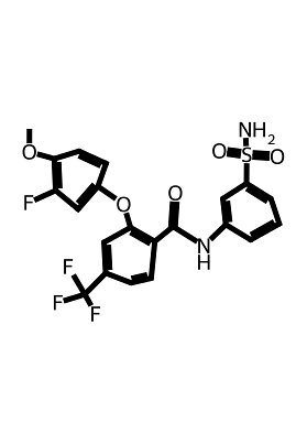 COc1ccc(Oc2cc(C(F)(F)F)ccc2C(=O)Nc2cccc(S(N)(=O)=O)c2)cc1F